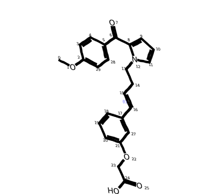 COc1ccc(C(=O)c2cccn2CC/C=C/c2cccc(OCC(=O)O)c2)cc1